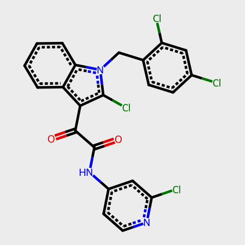 O=C(Nc1ccnc(Cl)c1)C(=O)c1c(Cl)n(Cc2ccc(Cl)cc2Cl)c2ccccc12